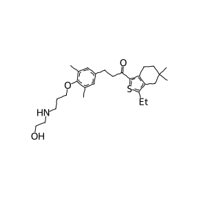 CCc1sc(C(=O)CCc2cc(C)c(OCCCNCCO)c(C)c2)c2c1CC(C)(C)CC2